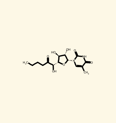 CCCCC(=O)C(O)[C@H]1O[C@@H](n2cc(C)c(=O)[nH]c2=O)[C@@H](O)[C@@H]1O